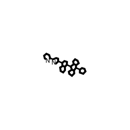 c1ccc(-c2c3ccccc3c(-c3ccc(-c4ccc(-c5ccccn5)nc4)c4ccccc34)c3ccccc23)cc1